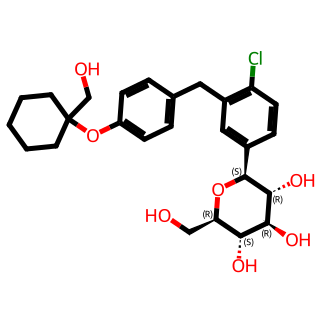 OC[C@H]1O[C@@H](c2ccc(Cl)c(Cc3ccc(OC4(CO)CCCCC4)cc3)c2)[C@H](O)[C@@H](O)[C@@H]1O